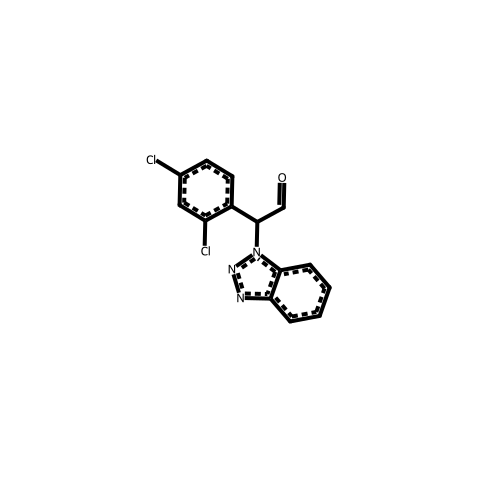 O=CC(c1ccc(Cl)cc1Cl)n1nnc2ccccc21